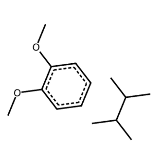 CC(C)C(C)C.COc1ccccc1OC